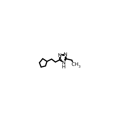 CCc1nnc(CCC2CCCC2)[nH]1